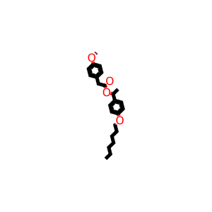 CCCCCCCOc1ccc(C(C)OC(=O)Cc2ccc(OC)cc2)cc1